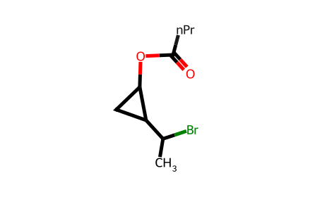 CCCC(=O)OC1CC1C(C)Br